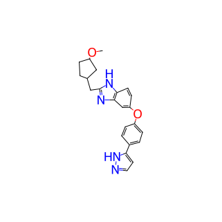 CO[C@H]1CCC(Cc2nc3cc(Oc4ccc(-c5ccn[nH]5)cc4)ccc3[nH]2)C1